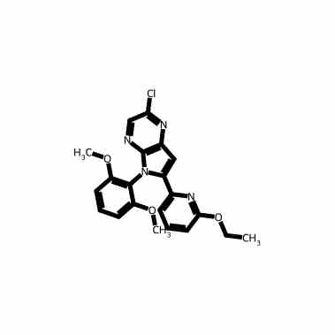 CCOc1cccc(-c2cc3nc(Cl)cnc3n2-c2c(OC)cccc2OC)n1